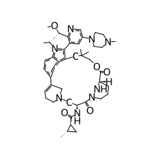 CCn1c(-c2cc(N3CCN(C)CC3)cnc2[C@H](C)OC)c2c3cc(ccc31)C1=CCCN(C1)C[C@H](NC(=O)[C@H]1C[C@@H]1C)C(=O)N1CCC[C@H](N1)C(=O)OCC(C)(C)C2